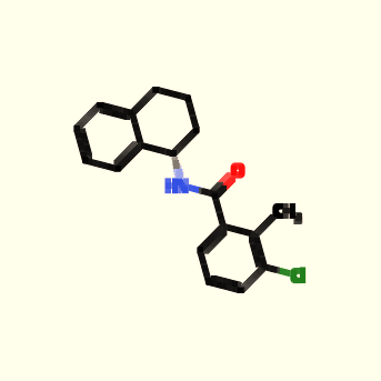 Cc1c(Cl)cccc1C(=O)N[C@H]1CCCc2ccccc21